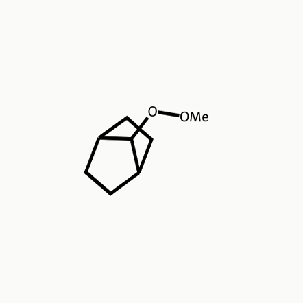 COOC1C2CCC1CC2